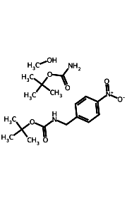 CC(C)(C)OC(=O)NCc1ccc([N+](=O)[O-])cc1.CC(C)(C)OC(N)=O.CO